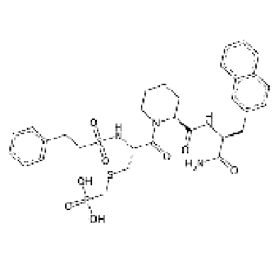 NC(=O)[C@H](Cc1ccc2ccccc2c1)NC(=O)[C@@H]1CCCCN1C(=O)[C@H](CSCP(=O)(O)O)NS(=O)(=O)CCc1ccccc1